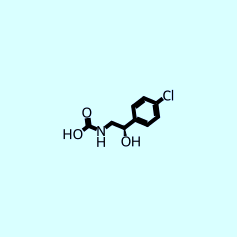 O=C(O)NC[C@H](O)c1ccc(Cl)cc1